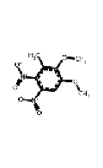 COc1cc([N+](=O)[O-])c([N+](=O)[O-])c(C)c1OC